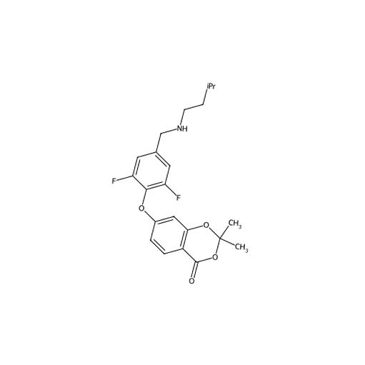 CC(C)CCNCc1cc(F)c(Oc2ccc3c(c2)OC(C)(C)OC3=O)c(F)c1